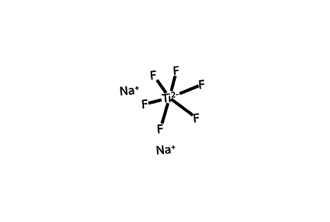 [F][Ti-2]([F])([F])([F])([F])[F].[Na+].[Na+]